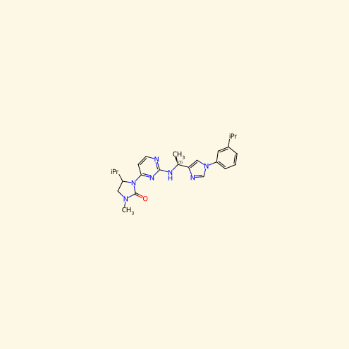 CC(C)c1cccc(-n2cnc([C@H](C)Nc3nccc(N4C(=O)N(C)CC4C(C)C)n3)c2)c1